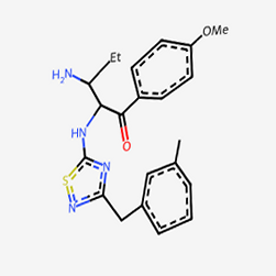 CCC(N)C(Nc1nc(Cc2cccc(C)c2)ns1)C(=O)c1ccc(OC)cc1